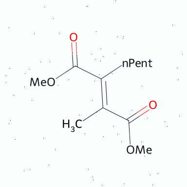 CCCCCC(C(=O)OC)=C(C)C(=O)OC